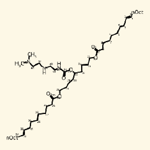 CCCCCCCC/C=C/CCCCCCCC(=O)OCCCCC(CCCCOC(=O)CCCCCCC/C=C/CCCCCCCC)OC(=O)NCCNCCN(C)C